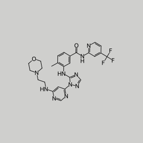 Cc1ccc(C(=O)Nc2cc(C(F)(F)F)ccn2)cc1Nc1ncnn1-c1cc(NCCN2CCOCC2)ncn1